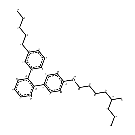 CCCCCc1cccc(-c2cccnc2-c2ccc(OCCCCC(C)CCC)cc2)c1